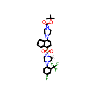 C[C@@H]1CN(c2ccc(F)cc2C(F)(F)F)CCN1S(=O)(=O)c1ccc(N2CCN(C(=O)OC(C)(C)C)CC2)c2ccccc12